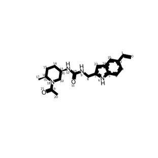 C=Cc1ccc2[nH]c(CNC(=O)N[C@@H]3CC[C@H](C)N(C(C)=O)C3)cc2c1